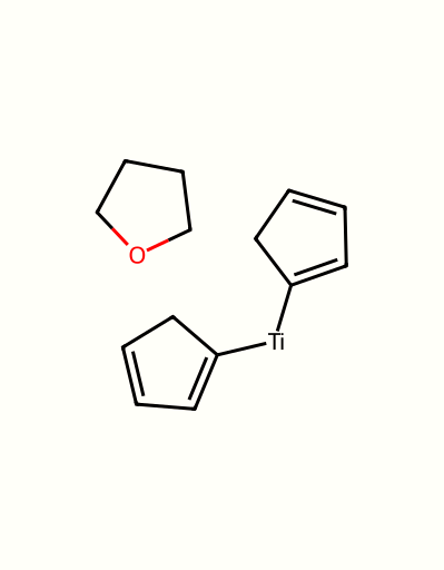 C1=CC[C]([Ti][C]2=CC=CC2)=C1.C1CCOC1